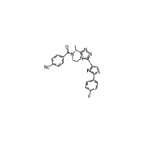 CC1c2nnc(-c3csc(-c4ccc(F)cc4)n3)n2CCN1C(=O)c1ccc(C#N)cc1